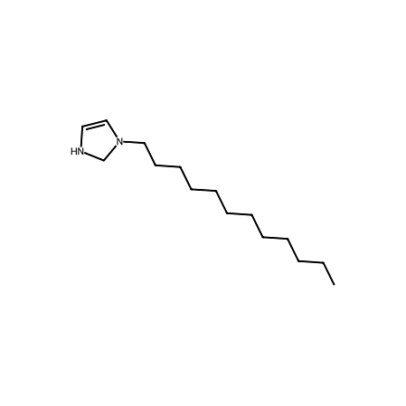 CCCCCCCCCCCCN1C=CNC1